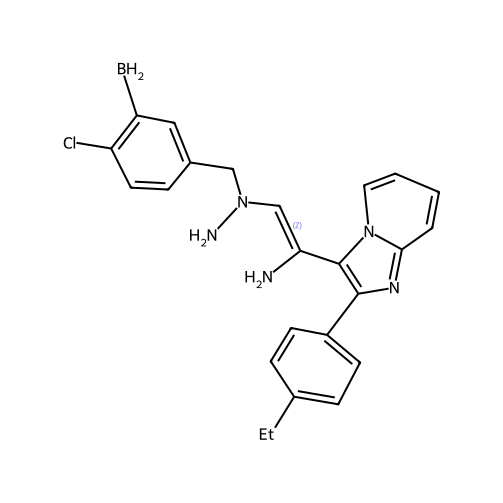 Bc1cc(CN(N)/C=C(\N)c2c(-c3ccc(CC)cc3)nc3ccccn23)ccc1Cl